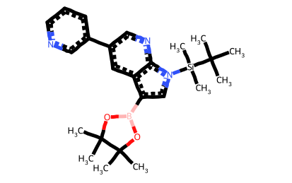 CC1(C)OB(c2cn([Si](C)(C)C(C)(C)C)c3ncc(-c4cccnc4)cc23)OC1(C)C